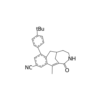 CC1=C2CC(CCNC2=O)Cc2c1cc(C#N)cc2-c1ccc(C(C)(C)C)cc1